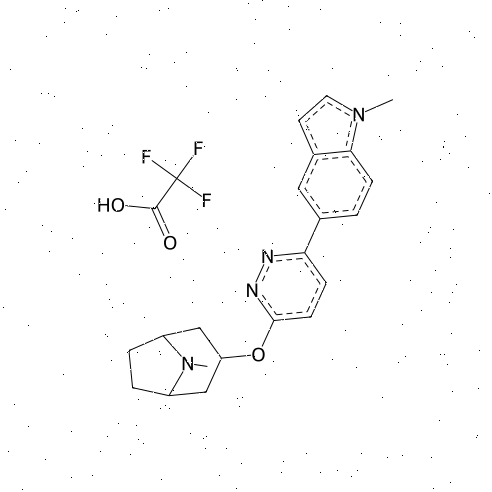 CN1C2CCC1CC(Oc1ccc(-c3ccc4c(ccn4C)c3)nn1)C2.O=C(O)C(F)(F)F